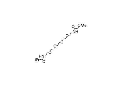 COCC(=O)NCCOCCOCCOCCOCCNC(=O)C(C)C